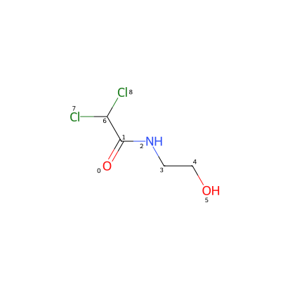 O=C(NCCO)C(Cl)Cl